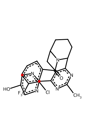 Cc1nc(-c2ncc(O)cn2)c2c(n1)C1CCCC(C2)N1C(=O)c1cccc(C(F)(F)F)c1Cl